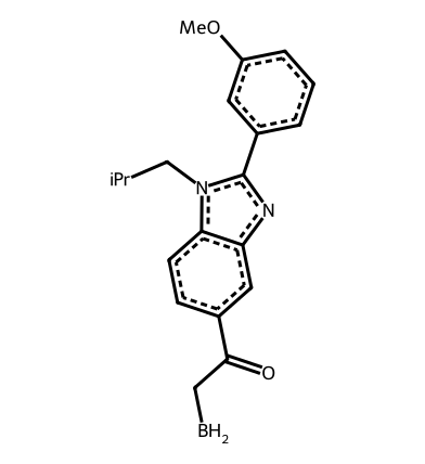 BCC(=O)c1ccc2c(c1)nc(-c1cccc(OC)c1)n2CC(C)C